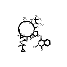 CC(C)n1nc(O[C@@H]2C[C@H]3C(=O)N[C@]4(C(=O)NS(=O)(=O)C5CC5)C[C@H]4C=CCC[C@@H](C)C[C@@H](C)[C@H](N(C(=O)O)C(C)(C)C(F)(F)F)C(=O)N3C2)c2ccccc2c1=O